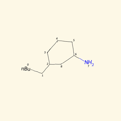 CCCCCC1C[CH]CC(N)C1